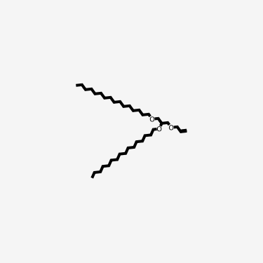 C=CCOCC(COCCCCCCCCCCCCCCCC)OCCCCCCCCCCCCCCCC